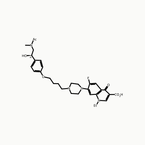 CCn1cc(C(=O)O)c(=O)c2cc(F)c(N3CCN(CCCCOc4ccc([C@@H](O)CN(C)C(C)=O)cc4)CC3)cc21